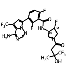 CC(O)(CC(=O)N1C[C@H](F)[C@H](NC(=O)c2c(F)ccc(-c3cc(C(F)(F)F)c4c(N)ncnn34)c2F)C1)C(F)(F)F